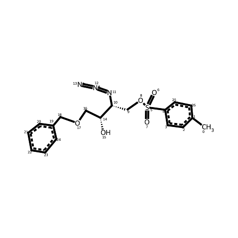 Cc1ccc(S(=O)(=O)OC[C@@H](N=[N+]=[N-])[C@H](O)COCc2ccccc2)cc1